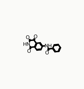 O=C1NC(=O)c2ccc(NC(=O)c3ccccc3)cc2C1=O